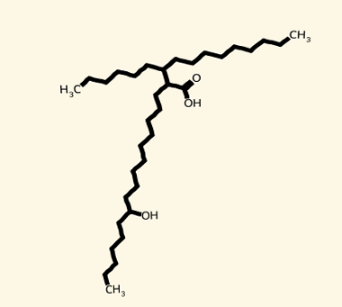 CCCCCCCCCC(CCCCCC)C(CCCCCCCCCC(O)CCCCCC)C(=O)O